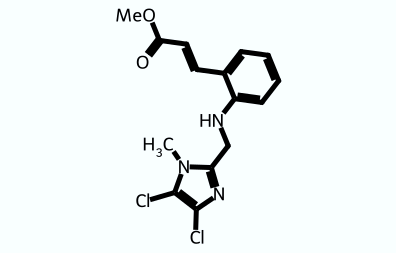 COC(=O)/C=C/c1ccccc1NCc1nc(Cl)c(Cl)n1C